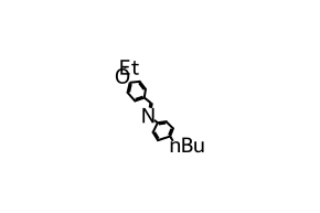 CCCCc1ccc(N=Cc2ccc(OCC)cc2)cc1